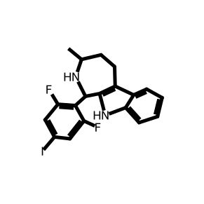 CC1CCc2c([nH]c3ccccc23)C(c2c(F)cc(I)cc2F)N1